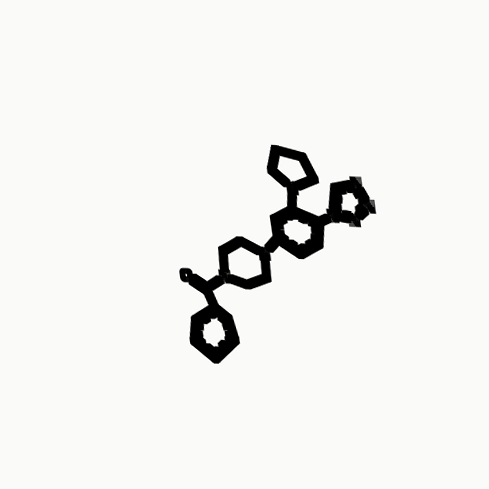 O=C(c1ccccc1)N1CCN(c2ccc(-n3cnnn3)c(N3CCCC3)c2)CC1